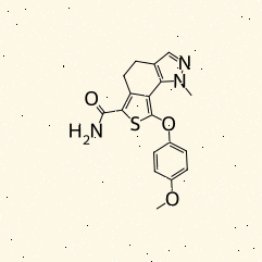 COc1ccc(Oc2sc(C(N)=O)c3c2-c2c(cnn2C)CC3)cc1